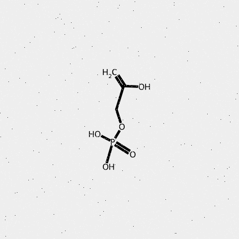 C=C(O)COP(=O)(O)O